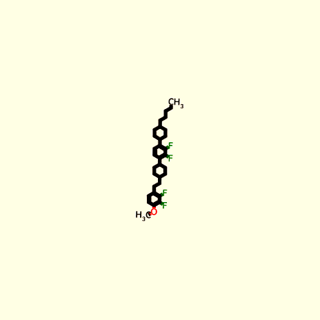 CCCCCC1CCC(c2ccc(C3CCC(CCc4ccc(OC)c(F)c4F)CC3)c(F)c2F)CC1